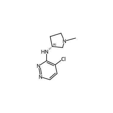 CN1CC[C@@H](Nc2nnccc2Cl)C1